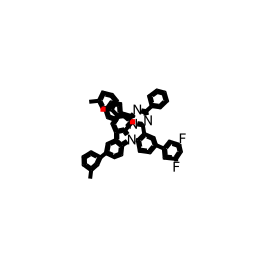 Cc1cccc(-c2ccc3c(c2)c2cc(-c4cccc(C)c4)ccc2n3-c2ccc(-c3cc(F)cc(F)c3)cc2-c2nc(-c3ccccc3)nc(-c3ccccc3)n2)c1